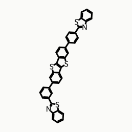 c1cc(-c2ccc3c(c2)sc2c4ccc(-c5ccc(-c6nc7ccccc7s6)cc5)cc4sc32)cc(-c2nc3ccccc3s2)c1